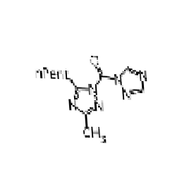 CCCCCc1nc(C)nn1C(=O)n1cncn1